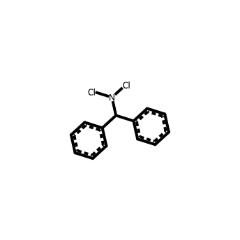 ClN(Cl)C(c1ccccc1)c1ccccc1